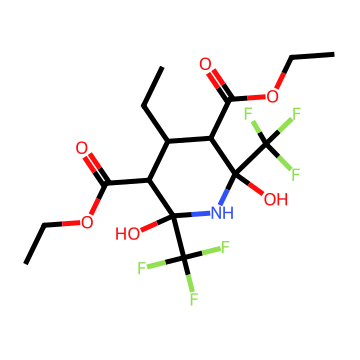 CCOC(=O)C1C(CC)C(C(=O)OCC)C(O)(C(F)(F)F)NC1(O)C(F)(F)F